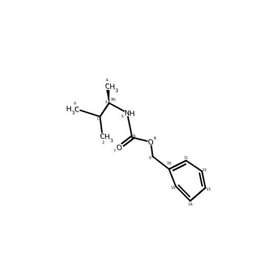 CC(C)[C@@H](C)NC(=O)OCc1ccccc1